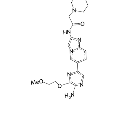 COCCOc1nc(-c2ccc3nc(NC(=O)CN4CCCCC4)cn3c2)cnc1N